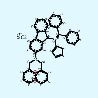 C1=CC[C]([Zr+2](=[C](c2ccccc2)c2ccccc2)[CH]2c3ccccc3-c3ccc(N(Cc4ccccc4)Cc4ccccc4)cc32)=C1.[Cl-].[Cl-]